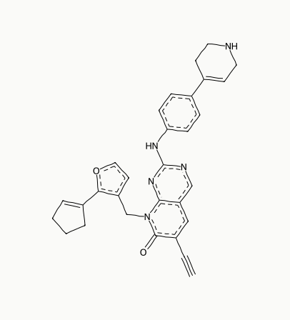 C#Cc1cc2cnc(Nc3ccc(C4=CCNCC4)cc3)nc2n(Cc2ccoc2C2=CCCC2)c1=O